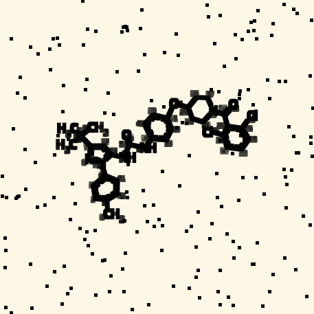 Cc1ccc(-n2nc(C(C)(C)C)cc2NC(=O)Nc2ccc(OC3CCN(C(=O)c4c(Cl)cccc4Cl)CC3)cc2)cc1